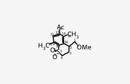 COCC1CCS(=O)(=O)c2c(C)cc(C(C)=O)c(C)c21